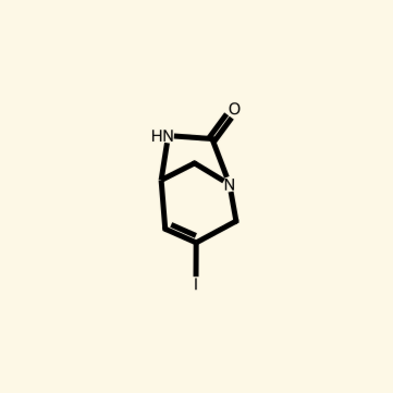 O=C1NC2C=C(I)CN1C2